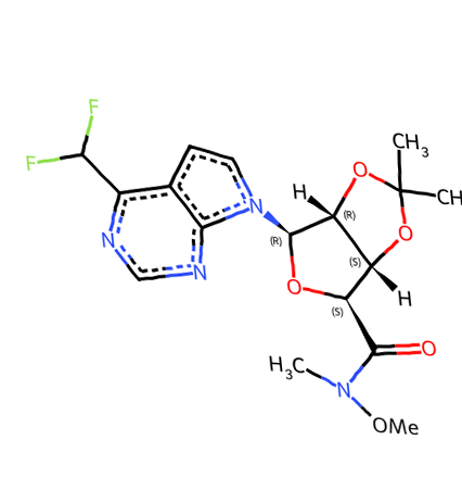 CON(C)C(=O)[C@H]1O[C@@H](n2ccc3c(C(F)F)ncnc32)[C@@H]2OC(C)(C)O[C@@H]21